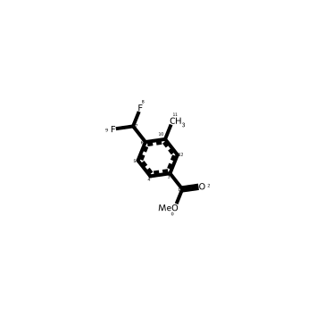 COC(=O)c1ccc(C(F)F)c(C)c1